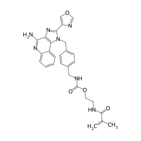 C=C(C)C(=O)NCCOC(=O)NCc1ccc(Cn2c(-c3cocn3)nc3c(N)nc4ccccc4c32)cc1